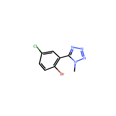 Cn1nnnc1-c1cc(Cl)ccc1Br